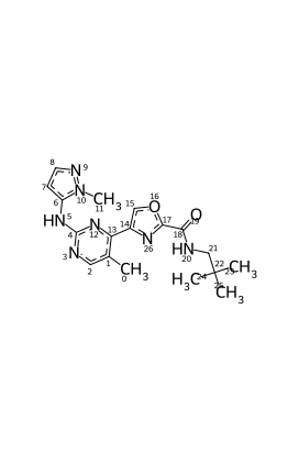 Cc1cnc(Nc2ccnn2C)nc1-c1coc(C(=O)NCC(C)(C)C)n1